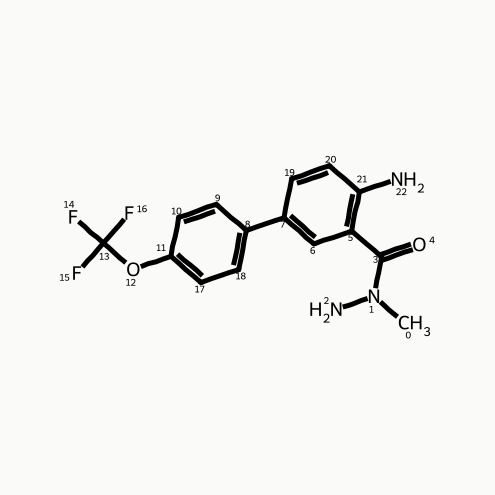 CN(N)C(=O)c1cc(-c2ccc(OC(F)(F)F)cc2)ccc1N